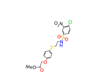 COC(=O)COc1ccc(SCCNS(=O)(=O)c2ccc(Cl)c([N+](=O)[O-])c2)cc1